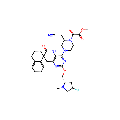 COC(=O)C(=O)N1CCN(c2nc(OC[C@@H]3CC(F)CN3C)nc3c2NC(=O)C2(CCCc4ccccc42)C3)CC1CC#N